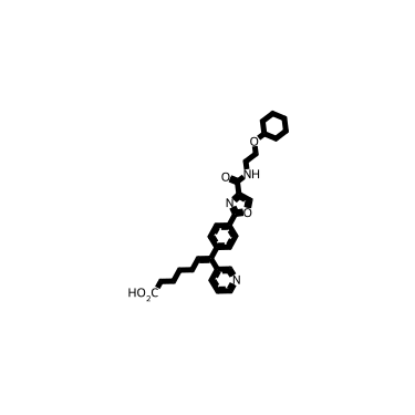 O=C(O)CCCC/C=C(/c1ccc(-c2nc(C(=O)NCCOC3CCCCC3)co2)cc1)c1cccnc1